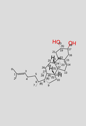 CC(C)=CCC[C@@H](C)[C@H]1CC[C@H]2[C@@H]3CC=C4CC(O)[C@@H](O)C[C@]4(C)[C@H]3CC[C@]12C